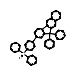 O=P(c1ccccc1)(c1ccccc1)c1ccc(-c2ccc3c(c2)C(c2ccccc2)(c2ccccc2)c2cc4ccccc4cc2-3)cc1